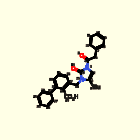 CCC(C)c1cn(C(=O)Cc2ccccc2)c(=O)n1Cc1cccc(-c2ccccc2)c1C(=O)O